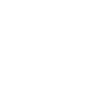 CC(=O)N[C@@H]1CCC[C@H](C(=O)Nc2cc(-c3cccc4c3CCCC4)c(Cl)cn2)C1